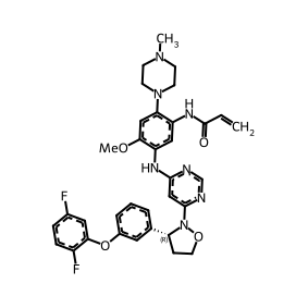 C=CC(=O)Nc1cc(Nc2cc(N3OCC[C@@H]3c3cccc(Oc4cc(F)ccc4F)c3)ncn2)c(OC)cc1N1CCN(C)CC1